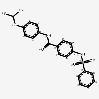 O=C(Nc1ccc(OC(F)F)cc1)c1ccc(NS(=O)(=O)c2ccccc2)cc1